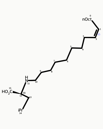 CCCCCCCC/C=C\CCCCCCCCN[C@@H](CC(C)C)C(=O)O